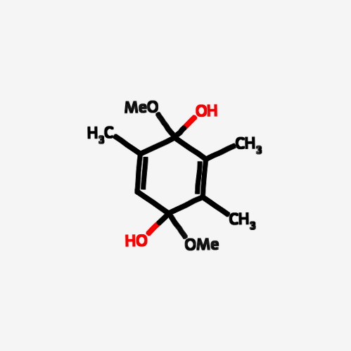 COC1(O)C=C(C)C(O)(OC)C(C)=C1C